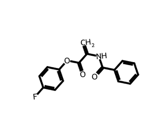 C=C(NC(=O)c1ccccc1)C(=O)Oc1ccc(F)cc1